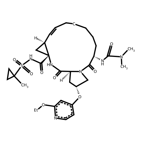 CCOc1cc(O[C@@H]2C[C@H]3C(=O)N[C@]4(C(=O)NS(=O)(=O)C5(C)CC5)C[C@H]4/C=C\CCCCC[C@H](NC(=O)N(C)C)C(=O)N3C2)ccn1